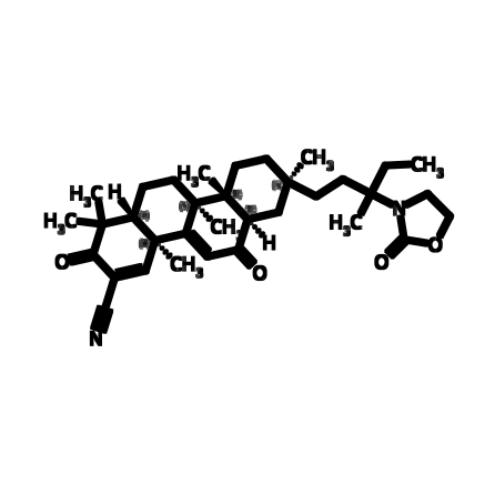 CCC(C)(CC[C@]1(C)CC[C@]2(C)[C@@H](C1)C(=O)C=C1[C@@]3(C)C=C(C#N)C(=O)C(C)(C)[C@@H]3CC[C@]12C)N1CCOC1=O